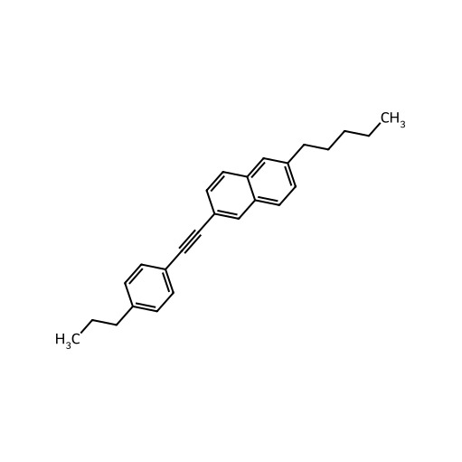 CCCCCc1ccc2cc(C#Cc3ccc(CCC)cc3)ccc2c1